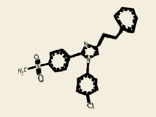 CS(=O)(=O)c1ccc(-c2nc(CCc3ccccc3)cn2-c2ccc(Cl)cc2)cc1